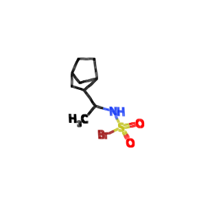 CC(NS(=O)(=O)Br)C1CC2CCC1C2